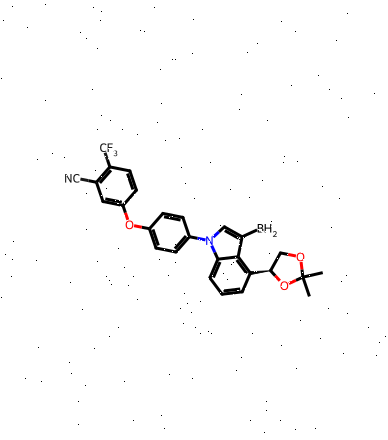 Bc1cn(-c2ccc(Oc3ccc(C(F)(F)F)c(C#N)c3)cc2)c2cccc([C@H]3COC(C)(C)O3)c12